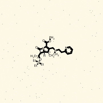 CC[Si](CC)(CC)O[C@H](C)[C@H]1C(=O)N2C(C(=O)OP)=C(CN(C)CCc3ccccn3)[C@H](C)[C@H]12